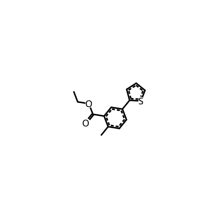 CCOC(=O)c1cc(-c2cccs2)ccc1C